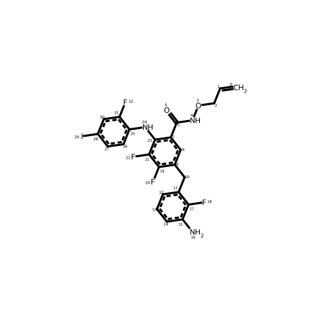 C=CCONC(=O)c1cc(Cc2cccc(N)c2F)c(F)c(F)c1Nc1ccc(I)cc1F